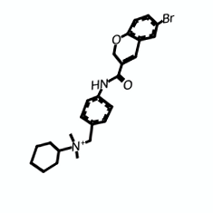 C[N+](C)(Cc1ccc(NC(=O)C2=Cc3cc(Br)ccc3OC2)cc1)C1CCCCC1